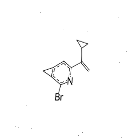 C=C(c1cc2c(c(Br)n1)C2)C1CC1